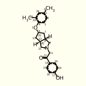 Cc1ccc(O[C@H]2C[C@@H]3CN(CC(=O)c4ccc(O)cc4)C[C@@H]3C2)c(C)c1